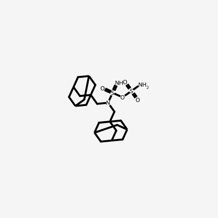 N=S(=O)(OS(N)(=O)=O)N(CC12CC3CC(CC(C3)C1)C2)CC12CC3CC(CC(C3)C1)C2